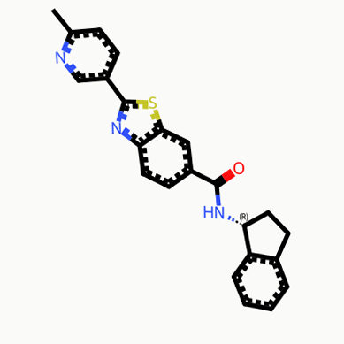 Cc1ccc(-c2nc3ccc(C(=O)N[C@@H]4CCc5ccccc54)cc3s2)cn1